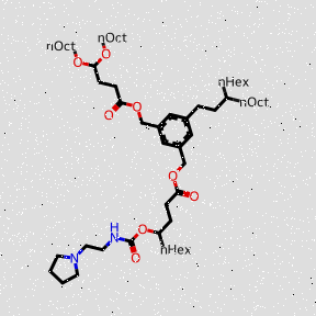 CCC[CH]CCCCC(CCCCCC)CCc1cc(COC(=O)CCC(CCCCCC)OC(=O)NCCN2CCCC2)cc(COC(=O)CCC(OCCCCCCCC)OCCCCCCCC)c1